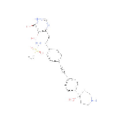 CS(=O)(=O)N[C@@H](Cc1nc[nH]c(=O)c1O)c1ccc(C#Cc2ccc(C3(O)CCNCC3)cc2)cc1